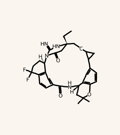 CC[C@]12CCC3CC3c3ccc4c(c3)[C@H](CC(C)(C)O4)NC(=O)c3ccc4c(c3)[C@@H](CCC4(F)F)N(C(=N)N1)C(=O)C2